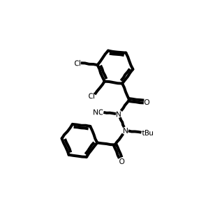 CC(C)(C)N(C(=O)c1ccccc1)N(C#N)C(=O)c1cccc(Cl)c1Cl